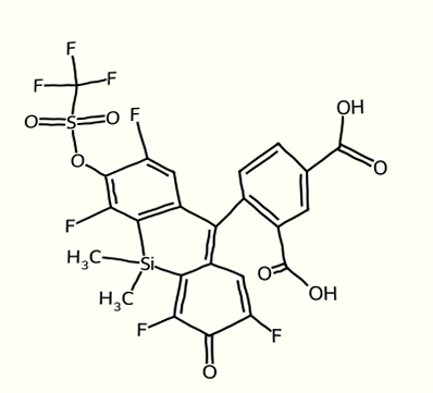 C[Si]1(C)C2=C(F)C(=O)C(F)=CC2=C(c2ccc(C(=O)O)cc2C(=O)O)c2cc(F)c(OS(=O)(=O)C(F)(F)F)c(F)c21